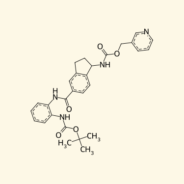 CC(C)(C)OC(=O)Nc1ccccc1NC(=O)c1ccc2c(c1)CCC2NC(=O)OCc1cccnc1